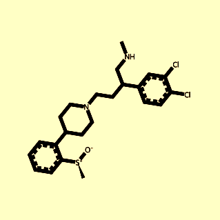 CNCC(CCN1CCC(c2ccccc2[S@+](C)[O-])CC1)c1ccc(Cl)c(Cl)c1